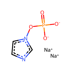 O=P([O-])([O-])On1ccnc1.[Na+].[Na+]